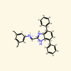 Cc1cc(C)cc(/N=C/c2nc3c(-c4ccccc4)ccc(-c4ccccc4)c3[nH]2)c1